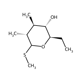 CC[C@H]1OC(SC)[C@H](C)[C@@H](C)[C@@H]1O